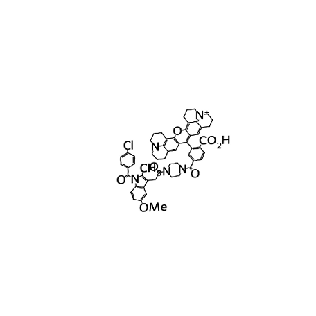 COc1ccc2c(c1)c(CC(=O)N1CCN(C(=O)c3ccc(C(=O)O)c(C4=c5cc6c7c(c5Oc5c4cc4c8c5CCCN8CCC4)CCC[N+]=7CCC6)c3)CC1)c(C)n2C(=O)c1ccc(Cl)cc1